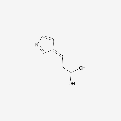 OC(O)CC=C1C=CN=C1